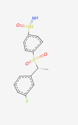 C[C@H](c1cccc(F)c1)S(=O)(=O)c1ccc([SH](=N)=O)cc1